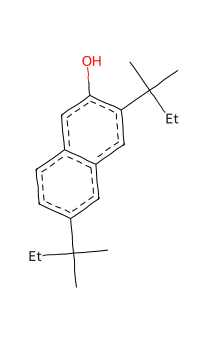 CCC(C)(C)c1ccc2cc(O)c(C(C)(C)CC)cc2c1